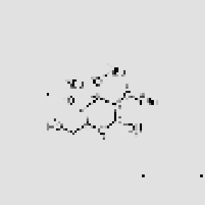 CCCCOC1[C@H](O)OC(CO)[C@H](OCCCC)[C@@H]1OCCCC